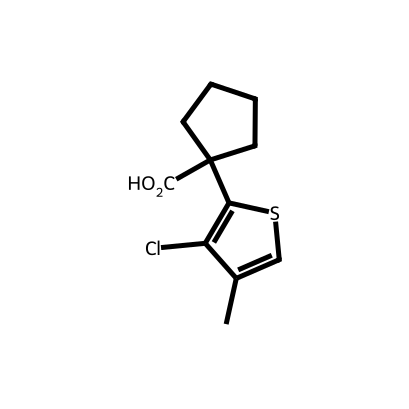 Cc1csc(C2(C(=O)O)CCCC2)c1Cl